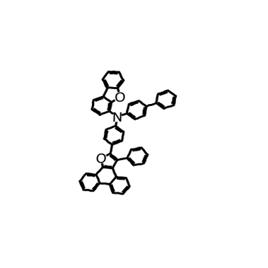 c1ccc(-c2ccc(N(c3ccc(-c4oc5c6ccccc6c6ccccc6c5c4-c4ccccc4)cc3)c3cccc4c3oc3ccccc34)cc2)cc1